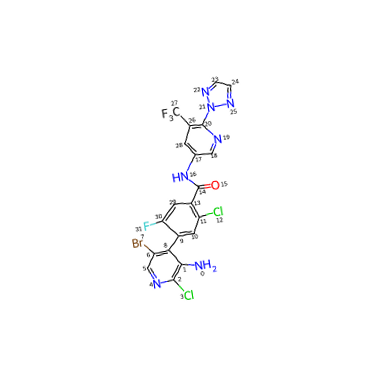 Nc1c(Cl)ncc(Br)c1-c1cc(Cl)c(C(=O)Nc2cnc(-n3nccn3)c(C(F)(F)F)c2)cc1F